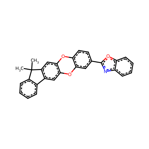 CC1(C)c2ccccc2-c2cc3c(cc21)Oc1ccc(-c2nc4ccccc4o2)cc1O3